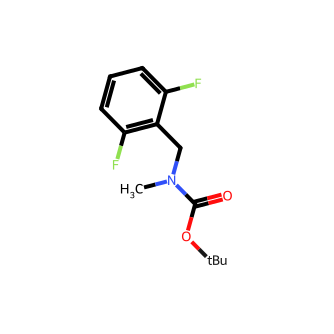 CN(Cc1c(F)cccc1F)C(=O)OC(C)(C)C